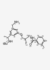 CC(NC(C)(C)C)c1cc(CN)cc(OCC(F)F)c1.Cc1cc(C(N)=O)ccn1